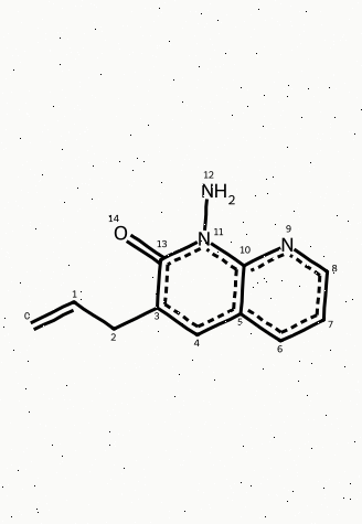 C=CCc1cc2cccnc2n(N)c1=O